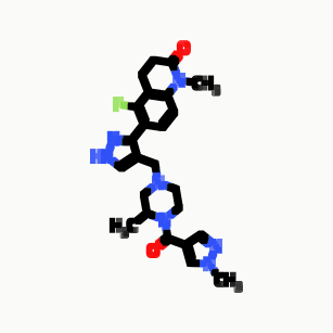 CC1CN(Cc2c[nH]nc2-c2ccc3c(c2F)CCC(=O)N3C)CCN1C(=O)c1cnn(C)c1